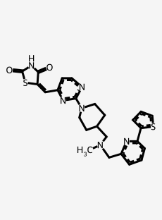 CN(Cc1cccc(-c2cccs2)n1)CC1CCN(c2nccc(C=C3SC(=O)NC3=O)n2)CC1